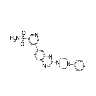 NS(=O)(=O)c1cncc(-c2ccc3ncc(N4CCN(c5ccccc5)CC4)nc3c2)c1